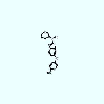 CCN(c1nc2ccc(Oc3ccc(C#N)nc3)cc2s1)C1CCCCC1